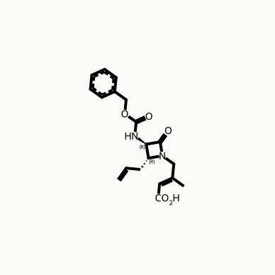 C=CC[C@@H]1[C@@H](NC(=O)OCc2ccccc2)C(=O)N1CC(C)=CC(=O)O